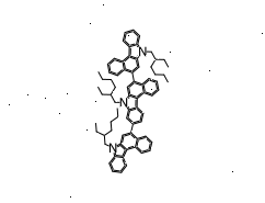 CCCCC(CC)Cn1c2ccccc2c2c3ccccc3c(-c3ccc4c5c6ccccc6c(-c6cc7c(c8ccccc68)c6ccccc6n7CC(CC)CCCC)cc5n(CC(CC)CCCC)c4c3)cc21